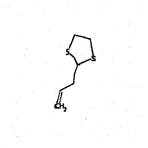 C=CC[C]1SCCS1